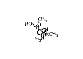 CCON(CCO)c1ccc(N)c2c1cnn2NC